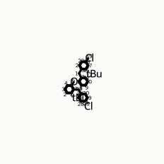 CC(C)(C)c1cccc(Oc2cccc(C(C)(C)C)c2Cc2ccc(Cl)cc2)c1Cc1ccc(Cl)cc1